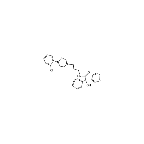 O=C(NCCCN1CCN(c2ccccc2Cl)CC1)C(O)(c1ccccc1)c1ccccc1